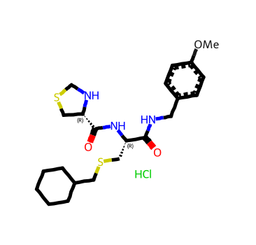 COc1ccc(CNC(=O)[C@H](CSCC2CCCCC2)NC(=O)[C@@H]2CSCN2)cc1.Cl